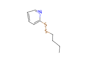 CCCCSSc1ccccn1